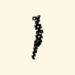 CCCCOCCOC(F)(F)C(F)(F)Oc1ccc(OC(=O)c2ccc(OCC(C)Cl)cc2)cc1